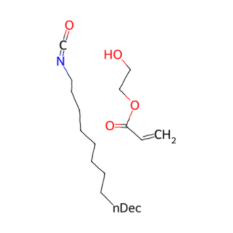 C=CC(=O)OCCO.CCCCCCCCCCCCCCCCCCN=C=O